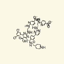 O=C(CC1CCNCC1)NC(Cc1nc(NCCNc2ccc([N+](=O)[O-])cn2)nc(-c2cc(Cl)cc(Cl)c2)c1C(=O)O)c1ccc(-c2ccnc(NCCNc3ccc([N+](=O)[O-])cn3)n2)cc1